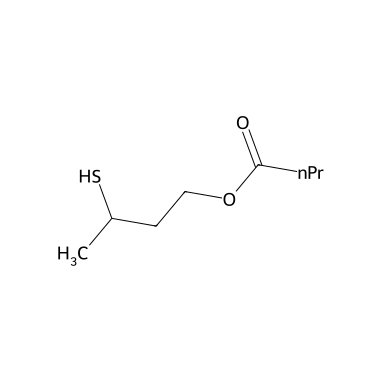 CCCC(=O)OCCC(C)S